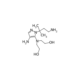 CC(C)(CCN)n1ncc(N)c1N(CCO)CCO